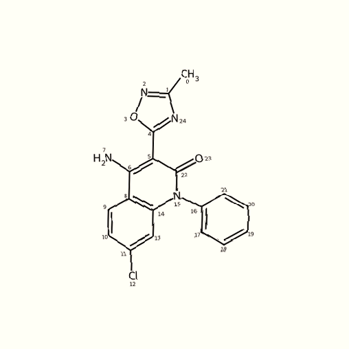 Cc1noc(-c2c(N)c3ccc(Cl)cc3n(-c3ccccc3)c2=O)n1